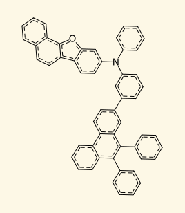 c1ccc(-c2c(-c3ccccc3)c3cc(-c4cccc(N(c5ccccc5)c5ccc6c(c5)oc5c7ccccc7ccc65)c4)ccc3c3ccccc23)cc1